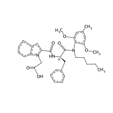 CCCCCN(C(=O)[C@@H](Cc1ccccc1)NC(=O)c1cc2ccccc2n1CC(=O)O)c1c(OC)cc(C)cc1OC